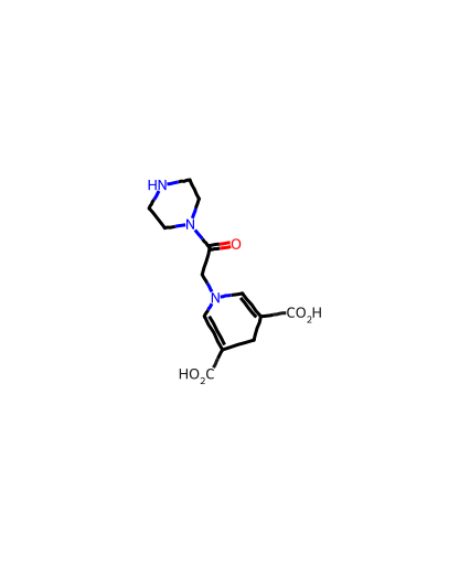 O=C(O)C1=CN(CC(=O)N2CCNCC2)C=C(C(=O)O)C1